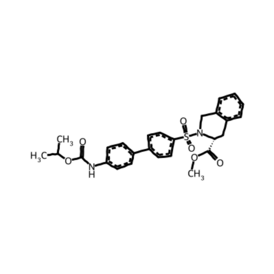 COC(=O)[C@H]1Cc2ccccc2CN1S(=O)(=O)c1ccc(-c2ccc(NC(=O)OC(C)C)cc2)cc1